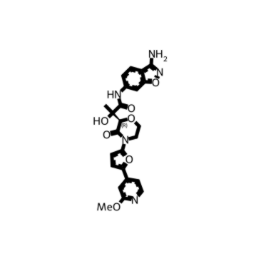 COc1cc(-c2ccc(N3CCO[C@H](C(C)(O)C(=O)Nc4ccc5c(N)noc5c4)C3=O)o2)ccn1